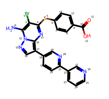 Nc1c(Br)c(Sc2ccc(C(=O)O)cc2)nc2c(-c3ccc(-c4cccnc4)nc3)cnn12